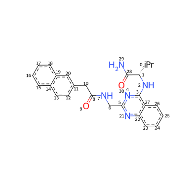 CC(C)[C@H](Nc1nc(CNC(=O)Cc2ccc3ccccc3c2)nc2ccccc12)C(N)=O